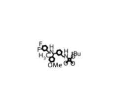 COc1ccc(C(NC(C)c2ccc(F)c(F)c2)c2cccc(CNc3c(OC(C)(C)C)c(=O)c3=O)c2)cc1